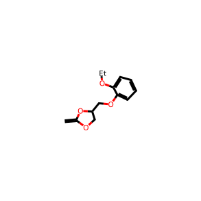 C=C1OCC(COc2ccccc2OCC)O1